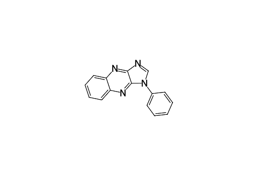 c1ccc(-n2cnc3nc4ccccc4nc32)cc1